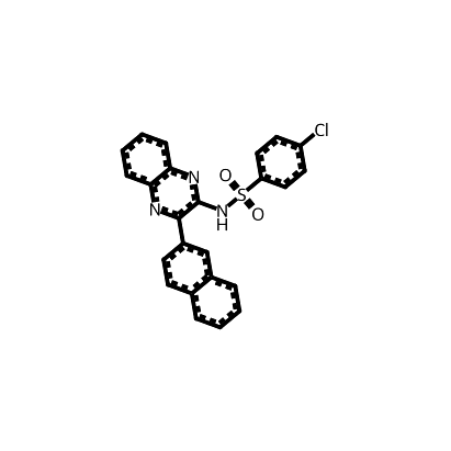 O=S(=O)(Nc1nc2ccccc2nc1-c1ccc2ccccc2c1)c1ccc(Cl)cc1